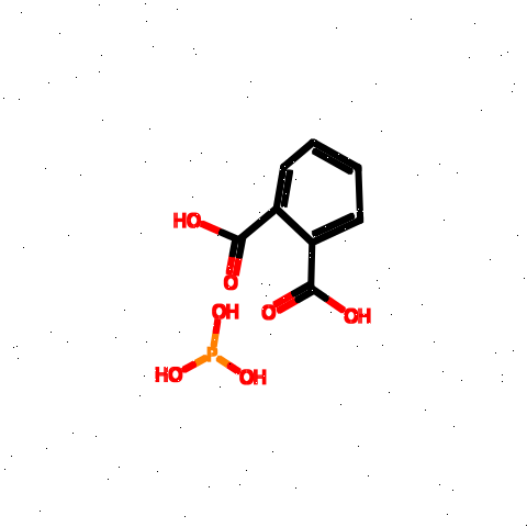 O=C(O)c1ccccc1C(=O)O.OP(O)O